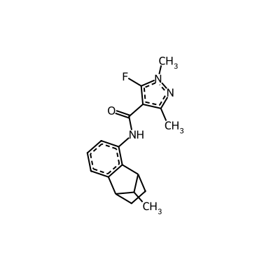 Cc1nn(C)c(F)c1C(=O)Nc1cccc2c1C1CCC2C1C